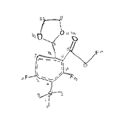 C[Si](C)(C)c1c(F)cc(C2OCCO2)c(C(=O)CF)c1F